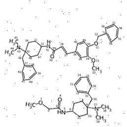 COCC(=O)NC1CCC(Cc2ccccc2)(N(C)C)CC1.COc1cc(C=CC(=O)NC2CCC(Cc3ccccc3)(N(C)C)CC2)ccc1OCc1ccccc1